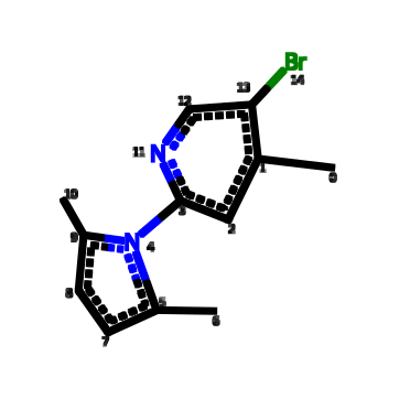 Cc1cc(-n2c(C)ccc2C)ncc1Br